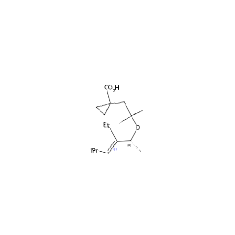 CC/C(=C\C(C)C)[C@@H](C)OC(C)(C)CC1(C(=O)O)CC1